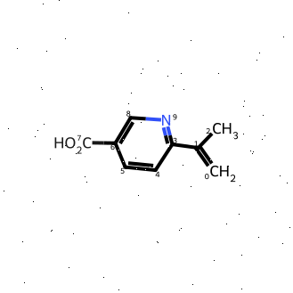 C=C(C)c1ccc(C(=O)O)cn1